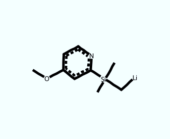 [Li][CH2][Si](C)(C)c1cc(OC)ccn1